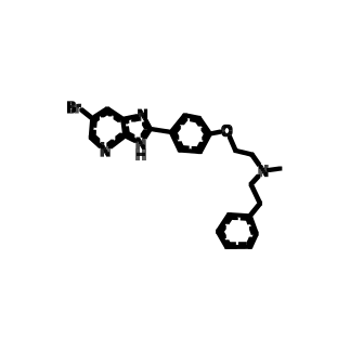 CN(CCOc1ccc(-c2nc3cc(Br)cnc3[nH]2)cc1)CCc1ccccc1